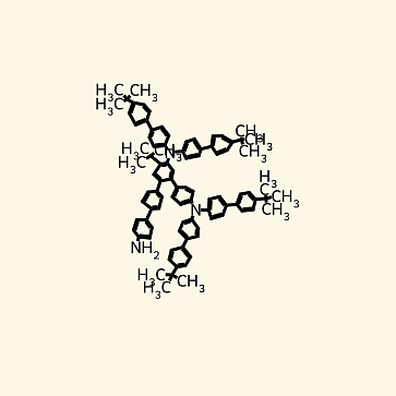 CC(C)(C)c1ccc(-c2ccc(N(c3ccc(-c4ccc(C(C)(C)C)cc4)cc3)c3ccc(-c4cc(N(c5ccc(-c6ccc(C(C)(C)C)cc6)cc5)c5ccc(-c6ccc(C(C)(C)C)cc6)cc5)c(C(C)(C)C)cc4-c4ccc(-c5ccc(N)cc5)cc4)cc3)cc2)cc1